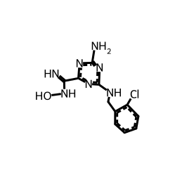 N=C(NO)c1nc(N)nc(NCc2ccccc2Cl)n1